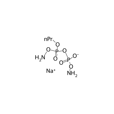 CCCOP(=O)(ON)OP(=O)([O-])ON.[Na+]